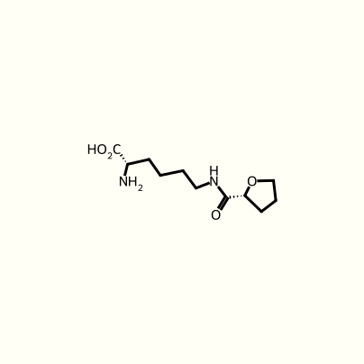 N[C@@H](CCCCNC(=O)[C@H]1CCCO1)C(=O)O